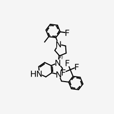 Cc1cccc(F)c1N1CC[C@@H](N2CN(Cc3ccccc3C(F)(F)F)C3=C2C=CNC3)C1